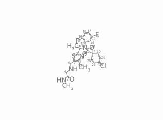 CNC(=O)CNCc1sc(C(C)N(c2cc(F)ccc2F)S(=O)(=O)c2ccc(Cl)cc2)nc1C